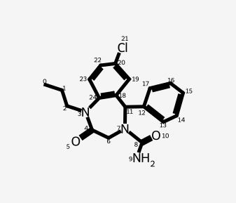 CCCN1C(=O)CN(C(N)=O)C(c2ccccc2)c2cc(Cl)ccc21